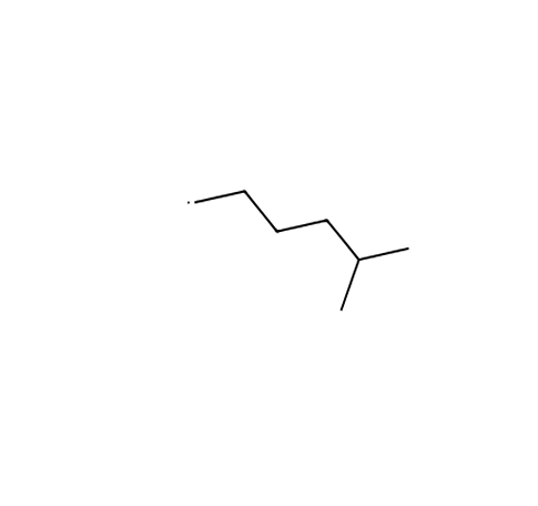 [CH2]CCCC(C)C